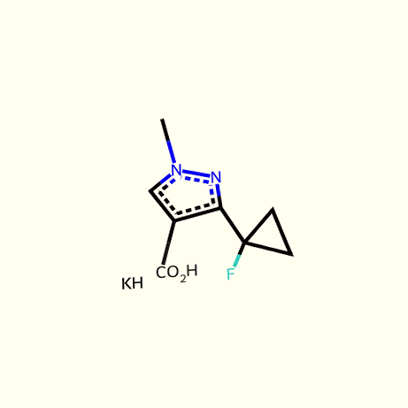 Cn1cc(C(=O)O)c(C2(F)CC2)n1.[KH]